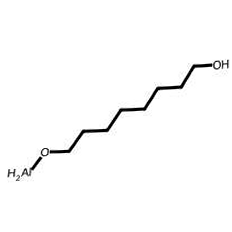 OCCCCCCCC[O][AlH2]